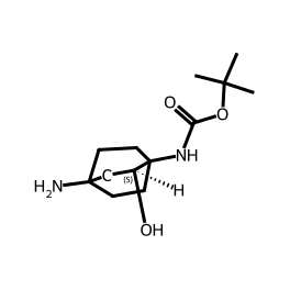 CC(C)(C)OC(=O)NC12CCC(N)(CC1)C[C@@H]2O